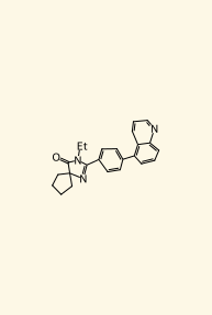 CCN1C(=O)C2(CCCC2)N=C1c1ccc(-c2cccc3ncccc23)cc1